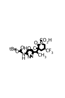 CC(c1ccc(NC(=O)OC(C)(C)C)nn1)C1(C(=O)O)C[C@@H](C(F)(F)F)CN(C(=O)O)C1=O